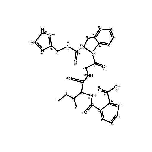 CCC(C)C(NC(=O)c1ccccc1C(=O)O)C(=O)NCC(=O)N1c2ccccc2C[C@H]1C(=O)NCc1nn[nH]n1